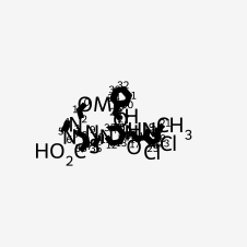 COCCn1ccnc1-c1nc(N2CC[C@@H](NC(=O)c3[nH]c(C)c(Cl)c3Cl)[C@@H](OCc3ccccc3)C2)sc1C(=O)O